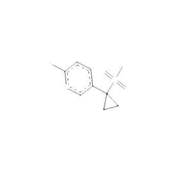 CS(=O)(=O)C1(c2ccc(N)nc2)CC1